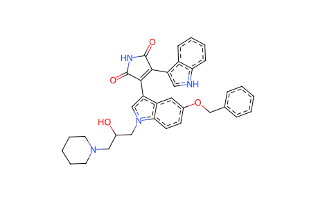 O=C1NC(=O)C(c2cn(CC(O)CN3CCCCC3)c3ccc(OCc4ccccc4)cc23)=C1c1c[nH]c2ccccc12